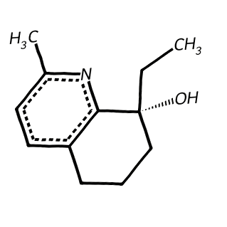 CC[C@@]1(O)CCCc2ccc(C)nc21